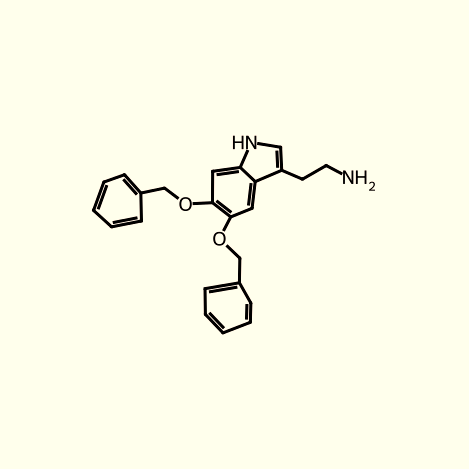 NCCc1c[nH]c2cc(OCc3ccccc3)c(OCc3ccccc3)cc12